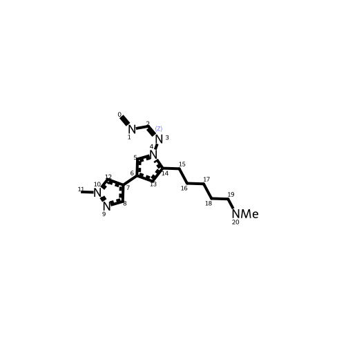 C=N/C=N\n1cc(-c2cnn(C)c2)cc1CCCCCNC